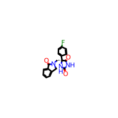 O=C1NC(=O)[C@](CN2Cc3ccccc3C2=O)(c2ccc(F)cc2)N1